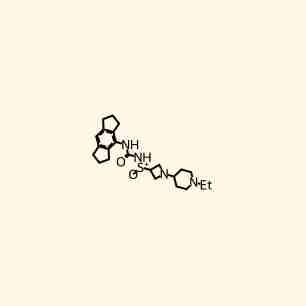 CCN1CCC(N2CC([S+]([O-])NC(=O)Nc3c4c(cc5c3CCC5)CCC4)C2)CC1